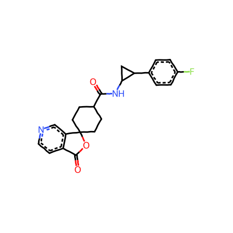 O=C1OC2(CCC(C(=O)NC3CC3c3ccc(F)cc3)CC2)c2cnccc21